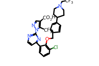 O=C(O)c1cnn(-c2nccc(-c3cccc(Cl)c3OCc3ccc(C4CCN(CC(F)(F)F)CC4)cc3)n2)c1C(F)(F)F